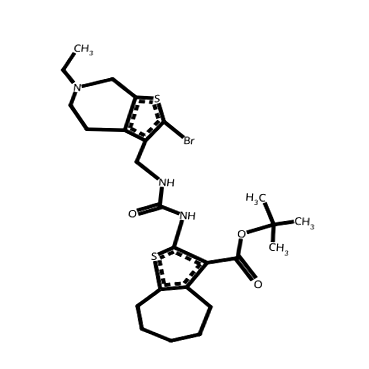 CCN1CCc2c(sc(Br)c2CNC(=O)Nc2sc3c(c2C(=O)OC(C)(C)C)CCCCC3)C1